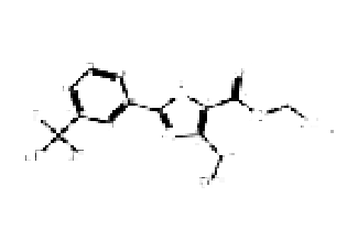 CCOC(=O)c1sc(-c2cccc(C(F)(F)F)c2)nc1CBr